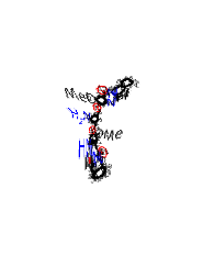 COc1cc2c(cc1OCc1cc(N)cc(COc3cc4c(cc3OC)C(=O)N3Cc5ccccc5C[C@H]3CN4)c1)N=C[C@@H]1Cc3ccccc3CN1C2=O